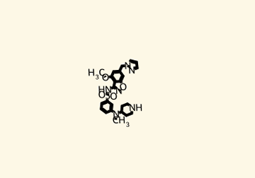 COc1cc(Cn2cccn2)cc2onc(NS(=O)(=O)c3cccc(N(C)C4CCNCC4)c3)c12